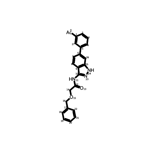 CC(=O)c1cccc(-c2ccc3c(NC(=O)COCc4ccccc4)n[nH]c3c2)c1